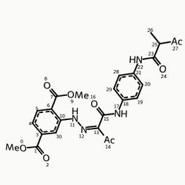 COC(=O)c1ccc(C(=O)OC)c(N/N=C(/C(C)=O)C(=O)Nc2ccc(NC(=O)C(C)C(C)=O)cc2)c1